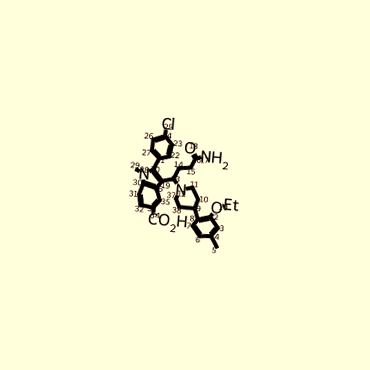 CCOc1cc(C)ccc1C1CCN(C(CCC(N)=O)c2c(-c3ccc(Cl)cc3)n(C)c3ccc(C(=O)O)cc23)CC1